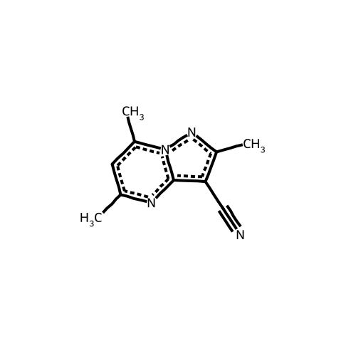 Cc1cc(C)n2nc(C)c(C#N)c2n1